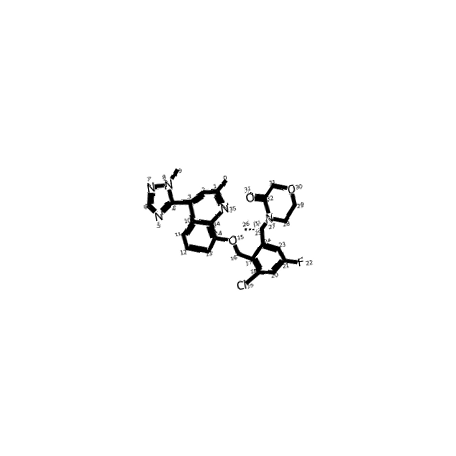 Cc1cc(-c2ncnn2C)c2cccc(OCc3c(Cl)cc(F)cc3[C@H](C)N3CCOCC3=O)c2n1